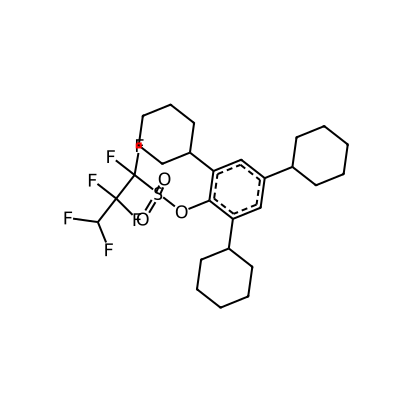 O=S(=O)(Oc1c(C2CCCCC2)cc(C2CCCCC2)cc1C1CCCCC1)C(F)(F)C(F)(F)C(F)F